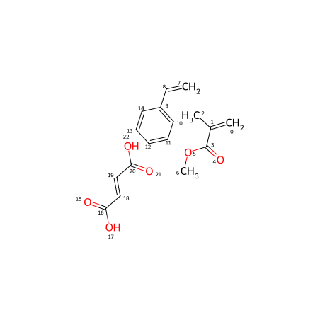 C=C(C)C(=O)OC.C=Cc1ccccc1.O=C(O)C=CC(=O)O